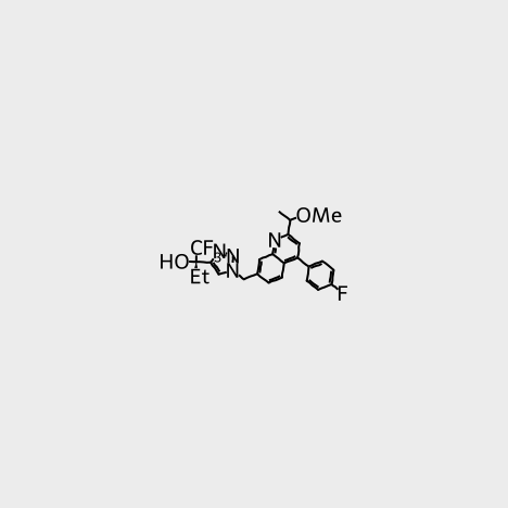 CC[C@](O)(c1cn(Cc2ccc3c(-c4ccc(F)cc4)cc(C(C)OC)nc3c2)nn1)C(F)(F)F